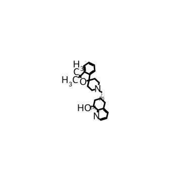 CC1(C)OC2(CCN(C[C@@H]3Cc4cccnc4[C@@H](O)C3)CC2)c2ccccc21